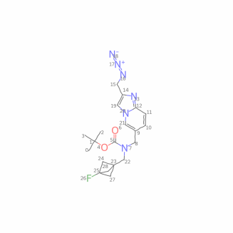 CC(C)(C)OC(=O)N(Cc1ccc2nc(CN=[N+]=[N-])cn2c1)CC12CC(F)(C1)C2